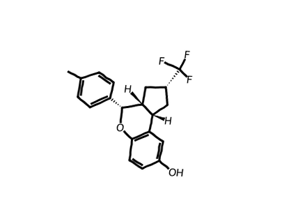 Cc1ccc([C@H]2Oc3ccc(O)cc3[C@H]3C[C@@H](C(F)(F)F)C[C@H]32)cc1